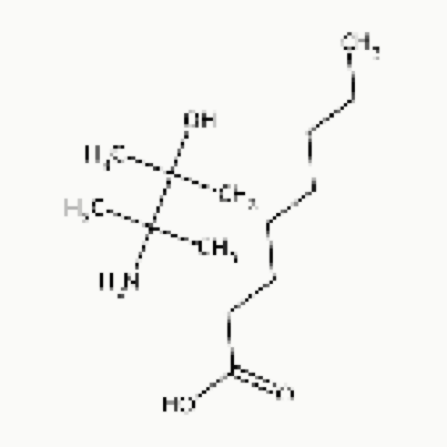 CC(C)(N)C(C)(C)O.CCCCCCCC(=O)O